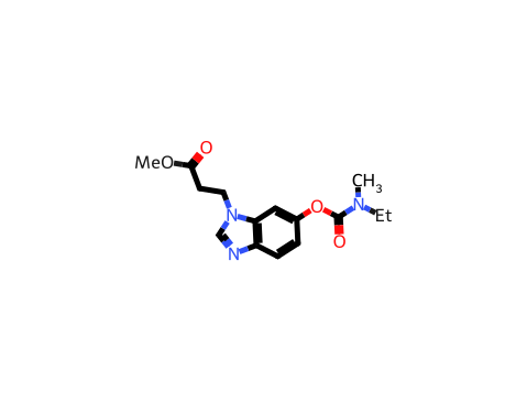 CCN(C)C(=O)Oc1ccc2ncn(CCC(=O)OC)c2c1